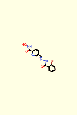 O=C(NO)c1ccc(/C=N/NC(=O)c2ccccc2Br)cn1